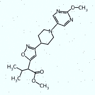 COC(=O)C(c1cc(C2CCN(c3cnc(OC)nc3)CC2)no1)C(C)C